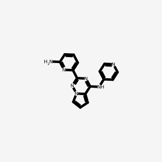 Nc1cccc(-c2nc(Nc3ccncc3)c3cccn3n2)n1